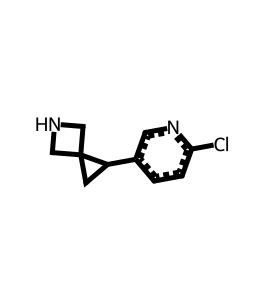 Clc1ccc(C2CC23CNC3)cn1